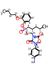 CCCCCP(=O)(Oc1ccccc1OCCCC)SCn1c(=O)on(-c2ccc(I)cc2)c1=O